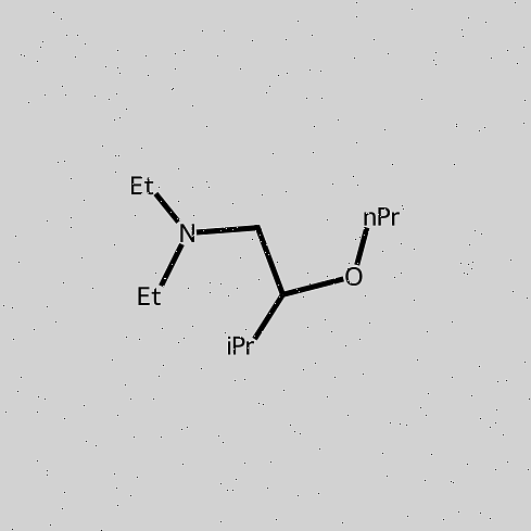 CCCOC(CN(CC)CC)C(C)C